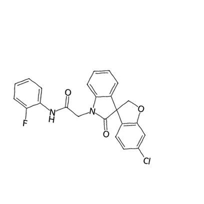 O=C(CN1C(=O)C2(COc3cc(Cl)ccc32)c2ccccc21)Nc1ccccc1F